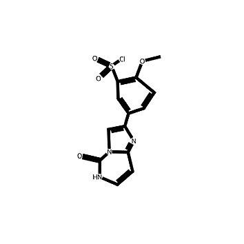 COc1ccc(-c2cn3c(=O)[nH]ccc3n2)cc1S(=O)(=O)Cl